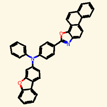 c1ccc(N(c2ccc(-c3nc4ccc5c6ccccc6ccc5c4o3)cc2)c2ccc3c(c2)oc2ccccc23)cc1